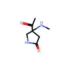 CNC1(C(C)=O)CNC(=O)C1